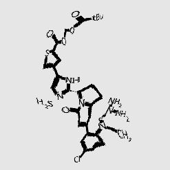 CN(SN(N)N)c1ccc(Cl)cc1-c1cc2n(c(=O)c1)[C@H](c1ncc(-c3csc(C(=O)OCOC(=O)C(C)(C)C)c3)[nH]1)CC2.S